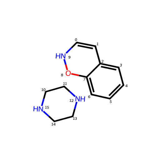 C1=Cc2ccccc2ON1.C1CNCCN1